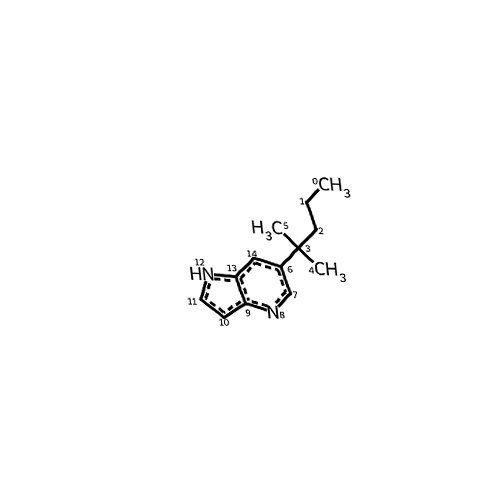 CCCC(C)(C)c1cnc2cc[nH]c2c1